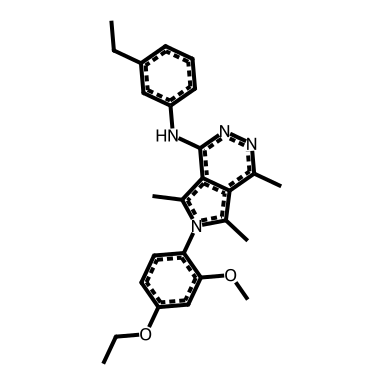 CCOc1ccc(-n2c(C)c3c(C)nnc(Nc4cccc(CC)c4)c3c2C)c(OC)c1